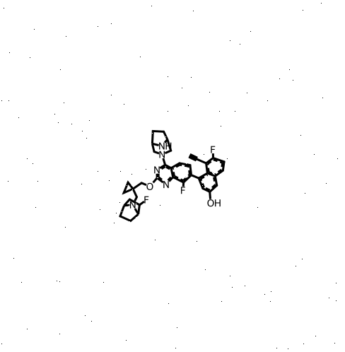 C#Cc1c(F)ccc2cc(O)cc(-c3ccc4c(N5CC6CCC(C5)N6)nc(OCC5(CN6C7CCC6C(F)C7)CC5)nc4c3F)c12